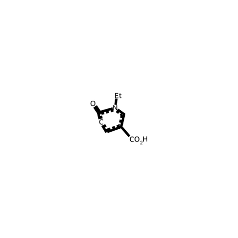 CCn1cc(C(=O)O)ccc1=O